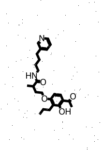 CCCc1c(OCCC(C)C(=O)NCCCCc2cccnc2)ccc(C(C)=O)c1O